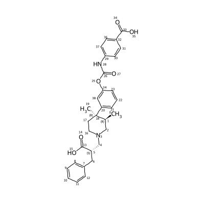 C[C@H]1CN(C[C@H](Cc2ccccc2)C(=O)O)CC[C@@]1(C)c1cccc(OC(=O)Nc2ccc(C(=O)O)cc2)c1